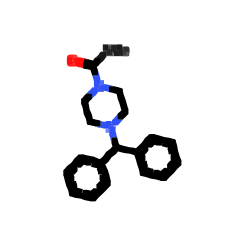 CNC(=O)N1CCN(C(c2ccccc2)c2ccccc2)CC1